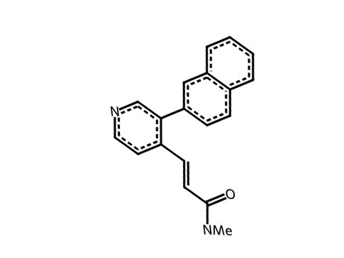 CNC(=O)/C=C/c1ccncc1-c1ccc2ccccc2c1